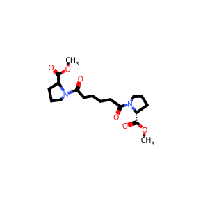 COC(=O)C1CCCN1C(=O)CCCCC(=O)N1CCC[C@@H]1C(=O)OC